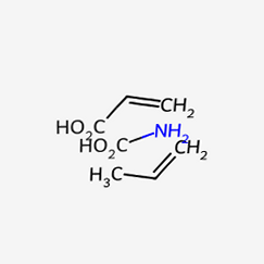 C=CC.C=CC(=O)O.NC(=O)O